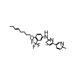 CCC=CCCCCOc1ccc(Nc2nc(-c3ccc(C)nc3)cs2)cc1C(F)(F)F